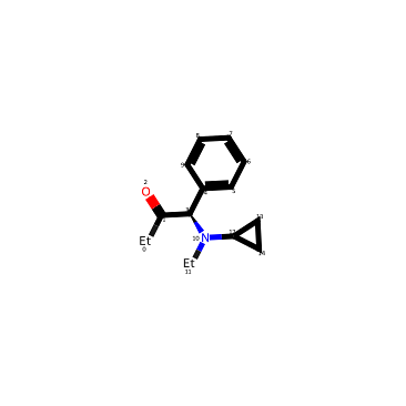 CCC(=O)[C@@H](c1ccccc1)N(CC)C1CC1